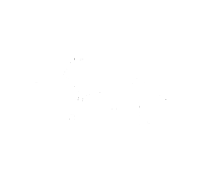 C[CH]CC(C)(C)OOC(=O)C(CC)CCCC